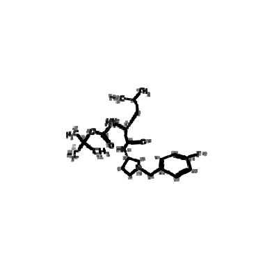 CC(C)C[C@H](NC(=O)OC(C)(C)C)C(=O)N[C@H]1CCN(Cc2ccc(F)cc2)C1